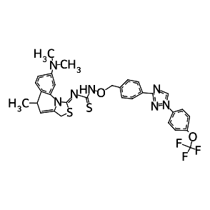 CC1C=C2CS/C(=N\C(=S)NOCc3ccc(-c4ncn(-c5ccc(OC(F)(F)F)cc5)n4)cc3)N2c2cc(N(C)C)ccc21